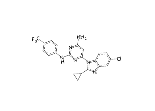 Nc1cc(-n2c(C3CC3)nc3cc(Cl)ccc32)nc(Nc2ccc(C(F)(F)F)cc2)n1